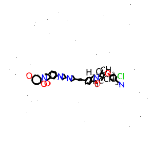 CC1(C)[C@H](Oc2ccc(C#N)c(Cl)c2)C(C)(C)[C@H]1N1Cc2cc(C#CC3CN(C4CN(c5ccc6c(c5)C(=O)N(C5CCC(=O)CCCC5=O)C6)C4)C3)ccc2C1=O